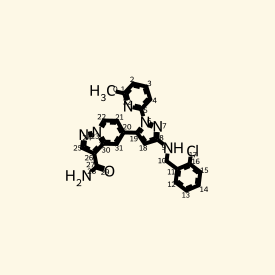 Cc1cccc(-n2nc(NCc3ccccc3Cl)cc2-c2ccn3ncc(C(N)=O)c3c2)n1